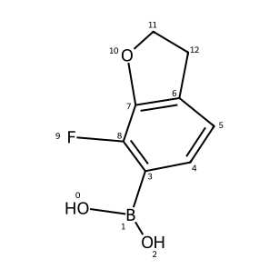 OB(O)c1ccc2c(c1F)OCC2